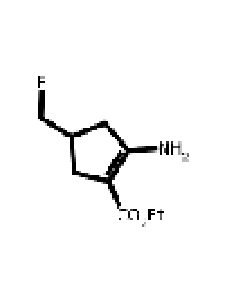 CCOC(=O)C1=C(N)CC(CF)C1